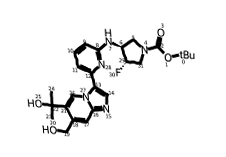 CC(C)(C)OC(=O)N1C[C@H](Nc2cccc(-c3cnc4cc(CO)c(C(C)(C)O)cn34)n2)[C@@H](F)C1